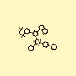 CC1(C)CCC(C)(C)c2cc(-c3cc(-c4nc(-c5ccccc5)nc(-c5ccc(C6C=CC=CC6)cc5)n4)cc(-c4cccc5cccnc45)c3)ccc21